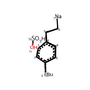 CC(C)(C)c1ccc(C[CH2][Na])cc1.O=S(=O)(O)O